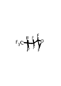 F[C]1OC1(F)C(F)(F)C(F)(F)C(F)(F)F